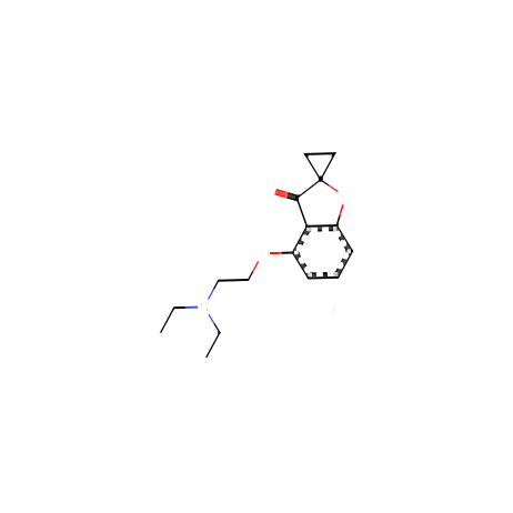 CCN(CC)CCOc1cccc2c1C(=O)C1(CC1)O2.Cl